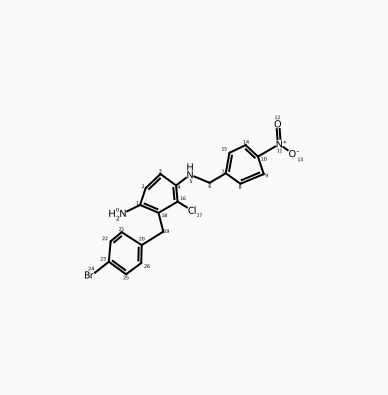 Nc1ccc(NCc2ccc([N+](=O)[O-])cc2)c(Cl)c1Cc1ccc(Br)cc1